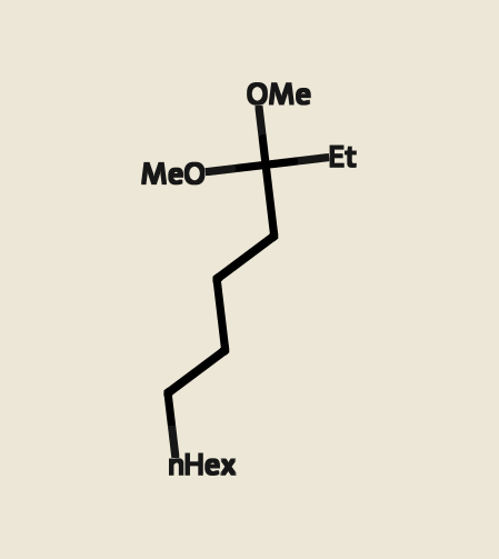 [CH2]CC(CCCCCCCCCC)(OC)OC